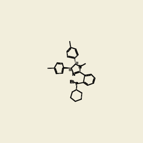 CCP(c1ccccc1C1=N[C@@H](c2ccc(C)cc2)[C@H](c2ccc(C)cc2)N1C)C1CCCCC1